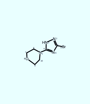 Brc1n[nH]c(N2CCOCC2)n1